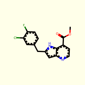 COC(=O)c1ccnc2cc(Cc3ccc(F)c(Cl)c3)[nH]c12